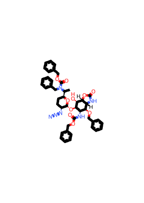 CC([C@@H]1CC[C@@H](N=[N+]=[N-])[C@@H](O[C@H]2[C@H](O)[C@H]3OC(=O)N[C@@H]3[C@@H](OCc3ccccc3)[C@@H]2NC(=O)OCc2ccccc2)O1)N(Cc1ccccc1)C(=O)OCc1ccccc1